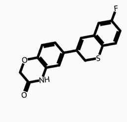 O=C1COc2ccc(C3=Cc4cc(F)ccc4SC3)cc2N1